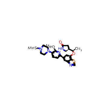 COc1nc(-c2cc(O[C@H](C)[C@H]3CNC(=O)C3)c3scnc3c2)ccc1N1CCN(SC)CC1